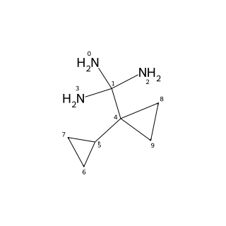 NC(N)(N)C1([C]2CC2)CC1